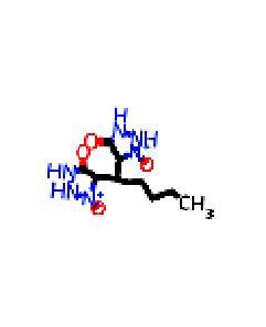 CCCCCC(C1C(=O)NN[N+]1=O)C1C(=O)NN[N+]1=O